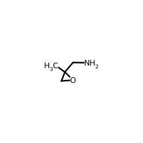 CC1(CN)CO1